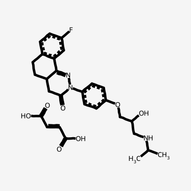 CC(C)NCC(O)COc1ccc(N2N=C3c4cc(F)ccc4CCC3CC2=O)cc1.O=C(O)C=CC(=O)O